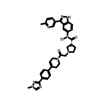 CCN(C(=O)[C@@H]1CCN(CC(=O)N2CC=C(c3ccc(-c4ncn(C)n4)cc3)CC2)C1)c1ccc2[nH]nc(-c3ccc(C)nc3)c2c1